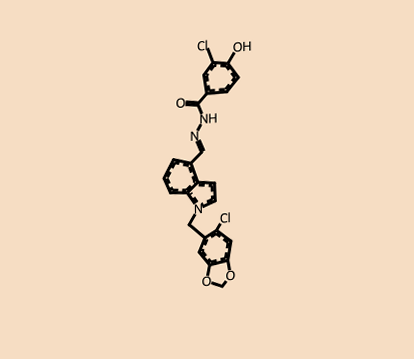 O=C(N/N=C/c1cccc2c1ccn2Cc1cc2c(cc1Cl)OCO2)c1ccc(O)c(Cl)c1